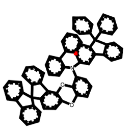 c1ccc(-c2ccccc2N(c2ccc3c(c2)-c2ccccc2C3(c2ccccc2)c2ccccc2)c2cccc3c2Oc2c(ccc4c2-c2ccccc2C42c4ccccc4-c4ccccc42)O3)cc1